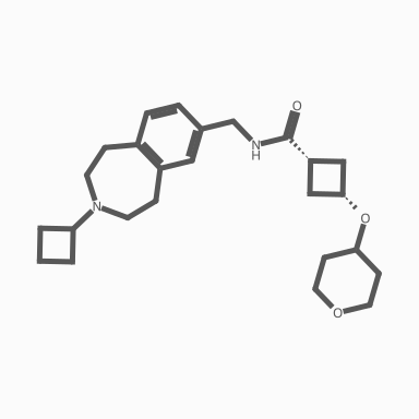 O=C(NCc1ccc2c(c1)CCN(C1CCC1)CC2)[C@H]1C[C@@H](OC2CCOCC2)C1